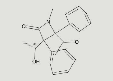 CC(=O)C1(c2ccccc2)N(C)C(=O)C1(c1ccccc1)[C@@H](C)O